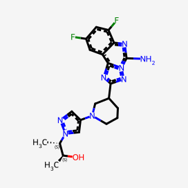 C[C@H](O)[C@H](C)n1cc(N2CCCC(c3nc4c5cc(F)cc(F)c5nc(N)n4n3)C2)cn1